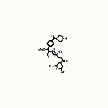 COC(c1ccc(C(=O)N2CCNCC2)cc1)C(CF)N(N)/C=C(\N)CCN(C)C1CC(C)OC(O)C1